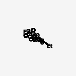 CCC#CCOc1ccc(S(=O)(=O)N2Cc3ccccc3N(C(=O)c3c(F)cccc3C(F)(F)F)CC2C(=O)OC)cc1